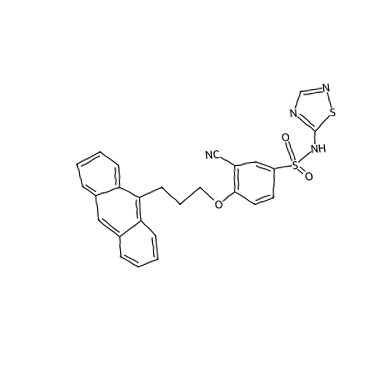 N#Cc1cc(S(=O)(=O)Nc2ncns2)ccc1OCCCc1c2ccccc2cc2ccccc12